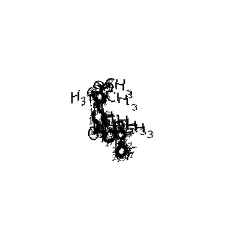 COC(=O)c1c(C)cc(N2CCN(C(=O)C3=CC=C4C(N3)C(C)(C)CN4c3cccc(F)c3)C(C)(C)C2)nc1C